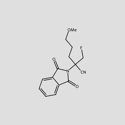 COCCCC(C#N)(CF)N1C(=O)c2ccccc2C1=O